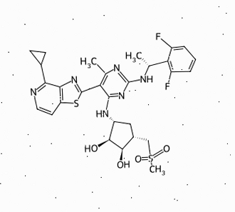 Cc1nc(N[C@H](C)c2c(F)cccc2F)nc(N[C@@H]2C[C@H](CS(C)(=O)=O)[C@@H](O)[C@H]2O)c1-c1nc2c(C3CC3)nccc2s1